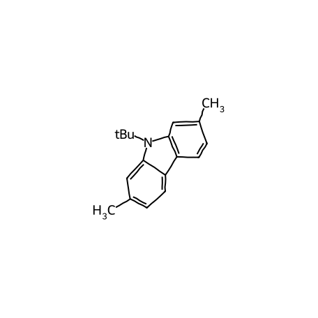 Cc1ccc2c3ccc(C)cc3n(C(C)(C)C)c2c1